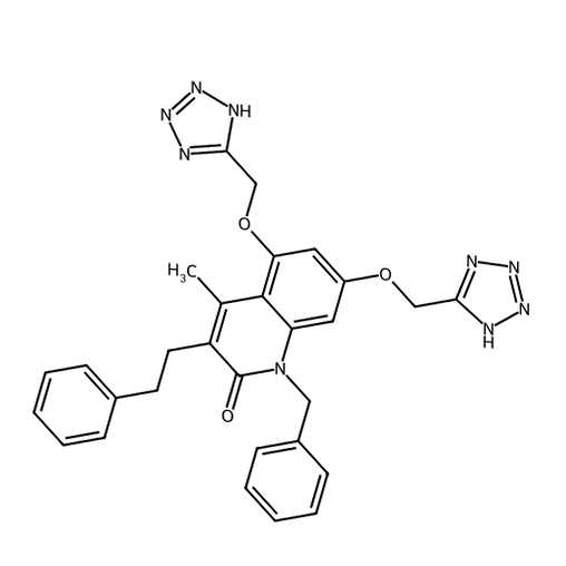 Cc1c(CCc2ccccc2)c(=O)n(Cc2ccccc2)c2cc(OCc3nnn[nH]3)cc(OCc3nnn[nH]3)c12